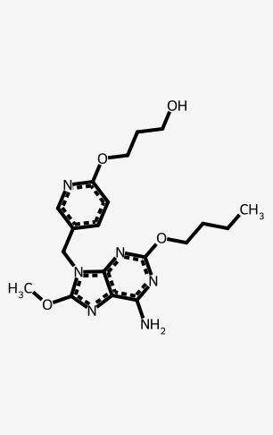 CCCCOc1nc(N)c2nc(OC)n(Cc3ccc(OCCCO)nc3)c2n1